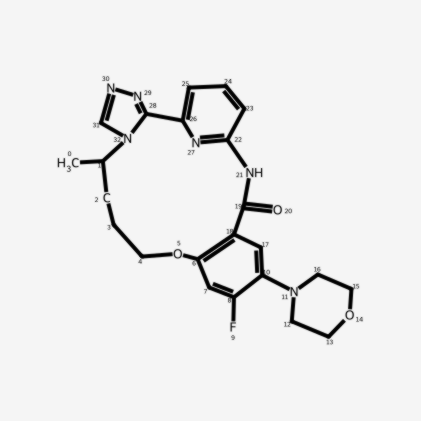 CC1CCCOc2cc(F)c(N3CCOCC3)cc2C(=O)Nc2cccc(n2)-c2nncn21